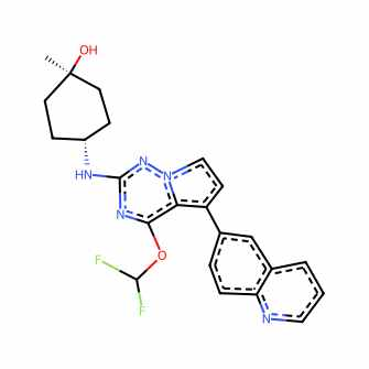 C[C@]1(O)CC[C@H](Nc2nc(OC(F)F)c3c(-c4ccc5ncccc5c4)ccn3n2)CC1